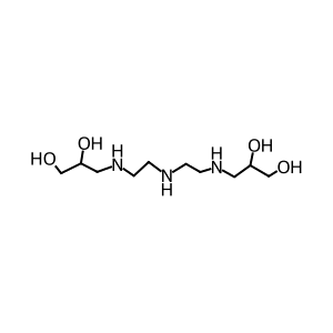 OCC(O)CNCCNCCNCC(O)CO